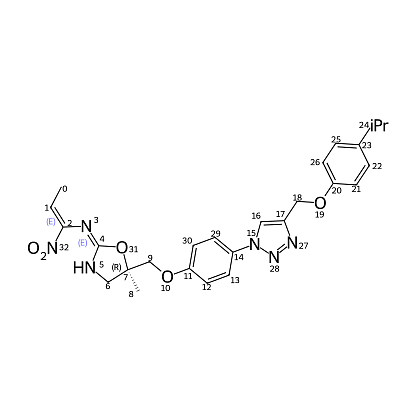 C/C=C(\N=C1/NC[C@](C)(COc2ccc(-n3cc(COc4ccc(C(C)C)cc4)nn3)cc2)O1)[N+](=O)[O-]